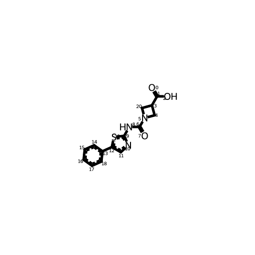 O=C(O)C1CN(C(=O)Nc2ncc(-c3ccccc3)s2)C1